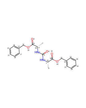 C[C@H](NC(=O)N[C@@H](C)C(=O)OCc1ccccc1)C(=O)OCc1ccccc1